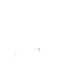 CCCCCCCC(=O)NCCC1CCCCCC1